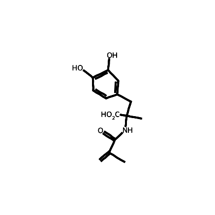 C=C(C)C(=O)NC(C)(Cc1ccc(O)c(O)c1)C(=O)O